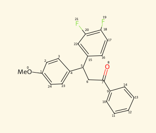 COc1ccc(C(CC(=O)c2ccccc2)c2ccc(F)c(F)c2)cc1